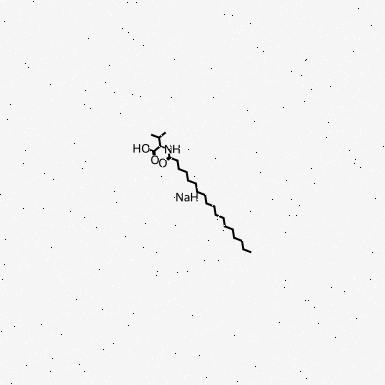 CCCCCCCCCCCCCCCCCC(=O)N[C@@H](C(=O)O)C(C)C.[NaH]